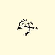 CC(C)(C)C=O.CC(C)(C)CO